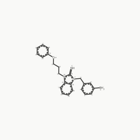 Bc1cccc(Cn2c(=N)n(CCCOc3ccccc3)c3ccccc32)c1